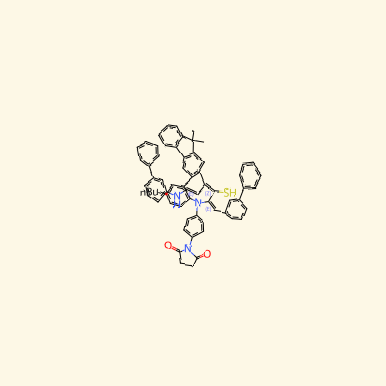 CCCCc1ccc2c(c1)-c1cc3c(cc1C(/C=C/Nc1cccc(-c4ccccc4)c1)=C(S)/C(=C\c1cccc(-c4ccccc4)c1)N2c1ccc(N2C(=O)CCC2=O)cc1)C(C)(C)c1ccccc1-3